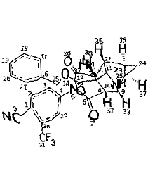 N#Cc1ccc(N2C(=O)[C@H]3[C@@H]4N[C@@H](C(=O)OCc5ccccc5)[C@@H]([C@H]5C[C@H]54)[C@H]3C2=O)cc1C(F)(F)F